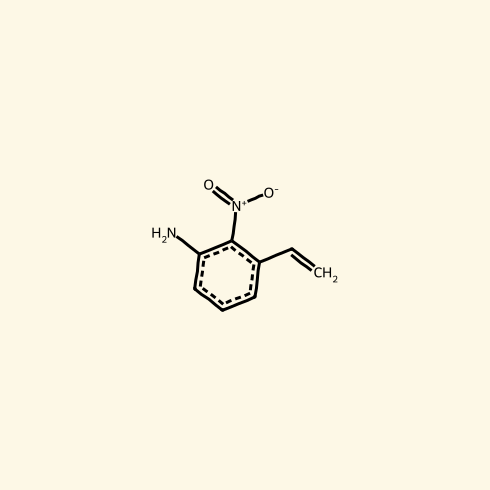 C=Cc1cccc(N)c1[N+](=O)[O-]